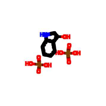 O=S(=O)(O)O.O=S(=O)(O)O.Oc1c[nH]c2ccccc12